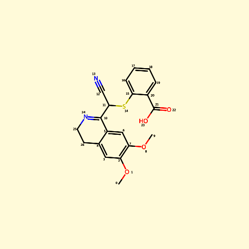 COc1cc2c(cc1OC)C(C(C#N)Sc1ccccc1C(=O)O)=NCC2